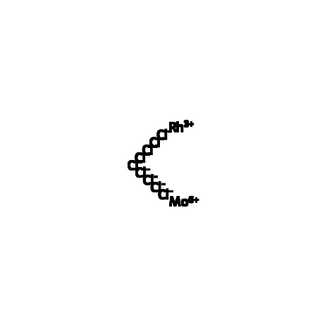 [Cl-].[Cl-].[Cl-].[Cl-].[Cl-].[Cl-].[Cl-].[Cl-].[Cl-].[Mo+6].[Rh+3]